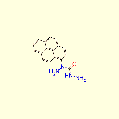 NNC(=O)N(N)c1ccc2ccc3cccc4ccc1c2c34